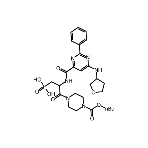 CCCCOC(=O)N1CCN(C(=O)C(CP(=O)(O)O)NC(=O)c2cc(NC3CCOC3)nc(-c3ccccc3)n2)CC1